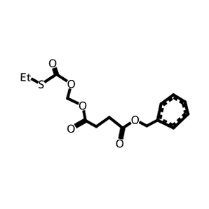 CCSC(=O)OCOC(=O)CCC(=O)OCc1ccccc1